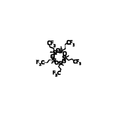 C[Si]1(CCC(F)(F)F)O[Si](C)(CCC(F)(F)F)O[Si](C)(CCC(F)(F)F)O[Si](C)(CCC(F)(F)F)O[Si](C)(CCC(F)(F)F)O1